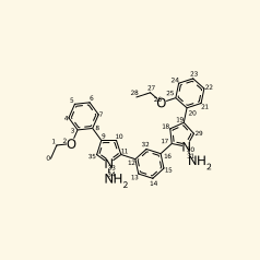 CCOc1ccccc1-c1cc(-c2cccc(-c3cc(-c4ccccc4OCC)cn3N)c2)n(N)c1